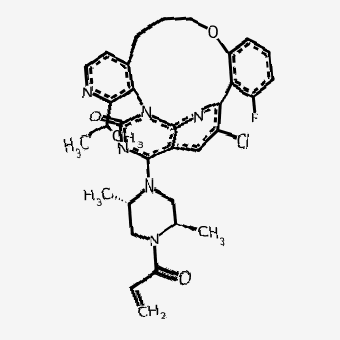 C=CC(=O)N1C[C@H](C)N(c2nc(=O)n3c4nc(c(Cl)cc24)-c2c(F)cccc2OCCCc2ccnc(C(C)C)c2-3)C[C@H]1C